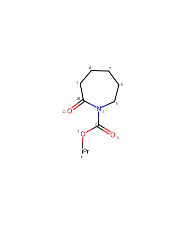 CC(C)OC(=O)N1CCCCCC1=O